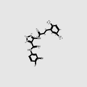 N=C(Nc1ccc(F)c(Br)c1)c1nonc1NC(=O)CCc1cc(C(F)(F)F)ccc1C(F)(F)F